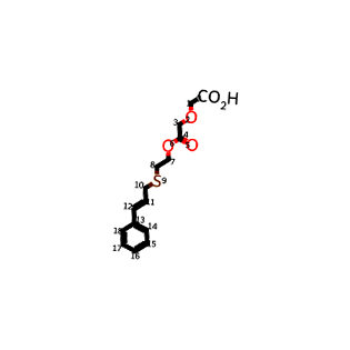 O=C(O)COCC(=O)OCCSCC=Cc1ccccc1